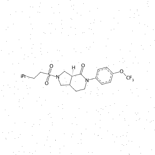 CC(C)CCS(=O)(=O)N1CC2CCN(c3ccc(OC(F)(F)F)cc3)C(=O)[C@@H]2C1